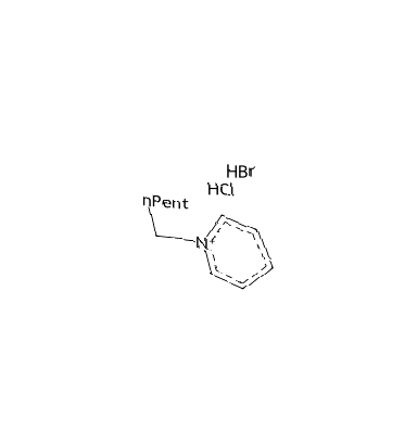 Br.CCCCCC[n+]1ccccc1.Cl